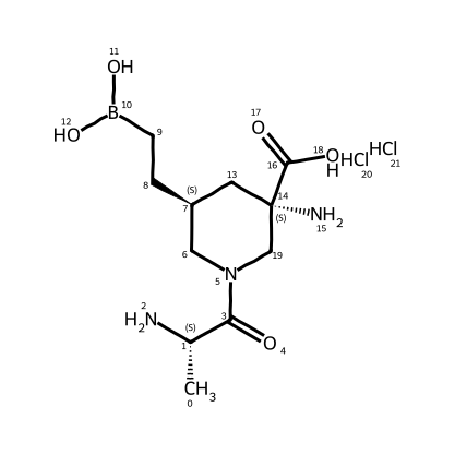 C[C@H](N)C(=O)N1C[C@@H](CCB(O)O)C[C@@](N)(C(=O)O)C1.Cl.Cl